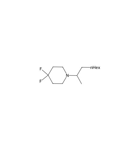 CCCCCCCC(C)N1CCC(F)(F)CC1